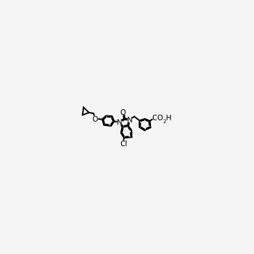 O=C(O)c1cccc(Cn2c(=O)n(-c3ccc(OCC4CC4)cc3)c3cc(Cl)ccc32)c1